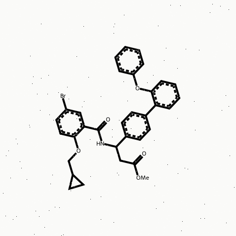 COC(=O)CC(NC(=O)c1cc(Br)ccc1OCC1CC1)c1ccc(-c2ccccc2Oc2ccccc2)cc1